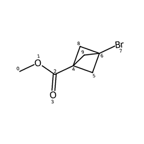 COC(=O)C12CC(Br)(C1)C2